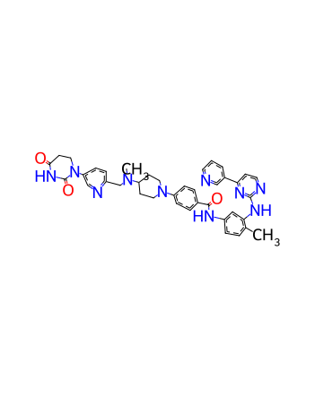 Cc1ccc(NC(=O)c2ccc(N3CCC(N(C)Cc4ccc(N5CCC(=O)NC5=O)cn4)CC3)cc2)cc1Nc1nccc(-c2cccnc2)n1